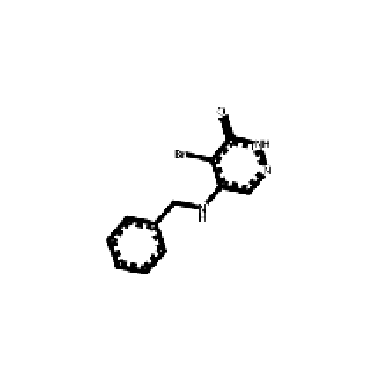 O=c1[nH]ncc(NCc2ccccc2)c1Br